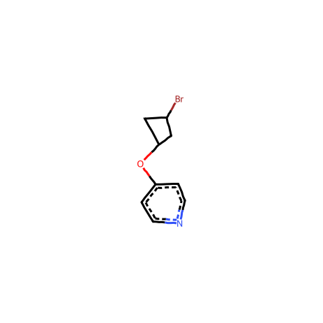 BrC1CC(Oc2ccncc2)C1